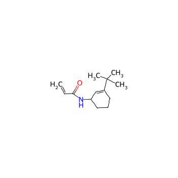 C=CC(=O)NC1C=C(C(C)(C)C)CCC1